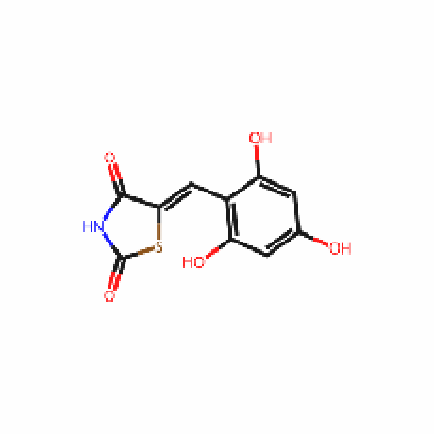 O=C1NC(=O)/C(=C/c2c(O)cc(O)cc2O)S1